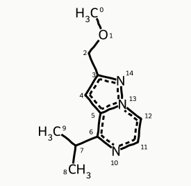 COCc1cc2c(C(C)C)nccn2n1